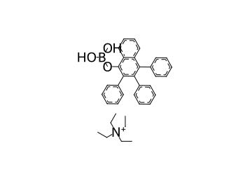 CC[N+](CC)(CC)CC.OB(O)Oc1c(-c2ccccc2)c(-c2ccccc2)c(-c2ccccc2)c2ccccc12